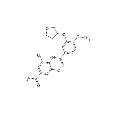 COc1ccc(C(=O)Nc2c(Cl)cc(C(N)=O)cc2Cl)cc1OC1CCOC1